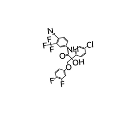 N#Cc1ccc(NC(=O)C(O)(COc2ccc(F)c(F)c2)c2ccc(Cl)cc2)cc1C(F)(F)F